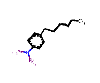 CCCCCCc1ccc(N(P)P)cc1